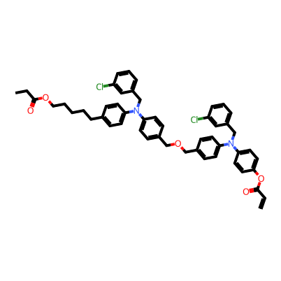 C=CC(=O)Oc1ccc(N(Cc2cccc(Cl)c2)c2ccc(COCc3ccc(N(Cc4cccc(Cl)c4)c4ccc(CCCCCOC(=O)CC)cc4)cc3)cc2)cc1